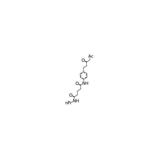 CCCNC(=O)CCCC(=O)Nc1ccc(CCC(=O)CC(C)=O)cc1